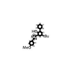 COc1ccc(-c2noc(-c3cc(C(C)(C)C)cc(-c4ccccc4)c3O)n2)cc1